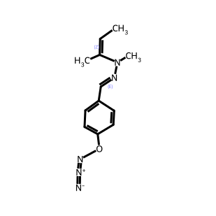 C/C=C(/C)N(C)/N=C/c1ccc(ON=[N+]=[N-])cc1